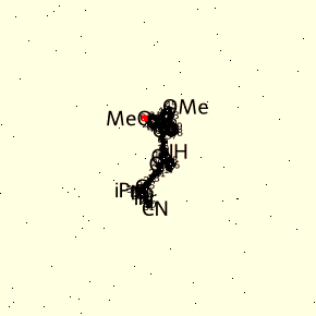 COc1ccc(C(OCCCCNC(=O)[C@H]2CCCN2C(=O)CCCCCOP(OCCC#N)N(C(C)C)C(C)C)(c2ccccc2)c2ccc(OC)cc2)cc1